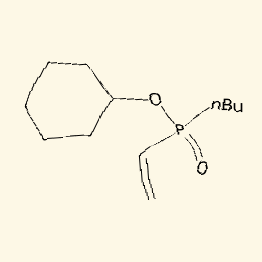 C=CP(=O)(CCCC)OC1CCCCC1